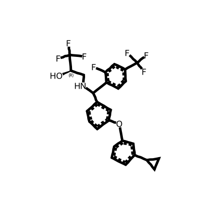 O[C@H](CNC(c1cccc(Oc2cccc(C3CC3)c2)c1)c1ccc(C(F)(F)F)cc1F)C(F)(F)F